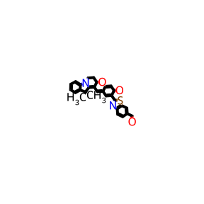 CC1(C)C2=C3C=C4C=C(c5nc6ccc(C=O)cc6s5)C(=O)C=C4OC3CCN2c2ccccc21